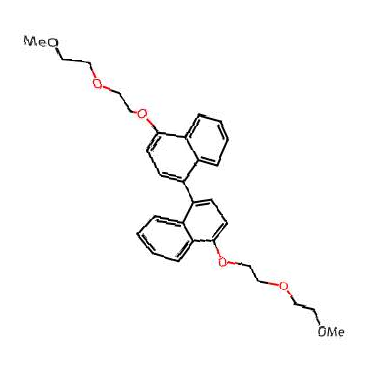 COCCOCCOc1ccc(-c2ccc(OCCOCCOC)c3ccccc23)c2ccccc12